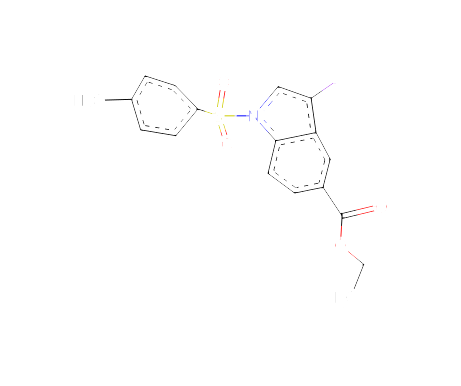 CCOC(=O)c1ccc2c(c1)c(I)cn2S(=O)(=O)c1ccc(C)cc1